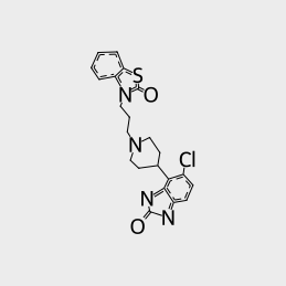 O=C1N=c2ccc(Cl)c(C3CCN(CCCn4c(=O)sc5ccccc54)CC3)c2=N1